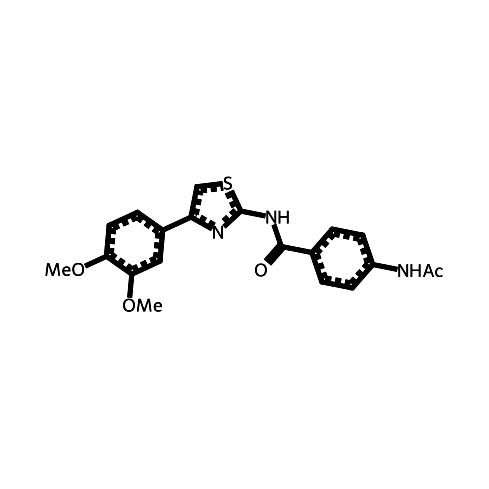 COc1ccc(-c2csc(NC(=O)c3ccc(NC(C)=O)cc3)n2)cc1OC